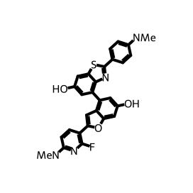 CNc1ccc(-c2nc3c(-c4cc(O)cc5oc(-c6ccc(NC)nc6F)cc45)cc(O)cc3s2)cc1